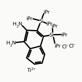 CC(C)[Si](c1c(N)c(N)c2ccccc2c1[Si](C(C)C)(C(C)C)C(C)C)(C(C)C)C(C)C.[Cl-].[Cl-].[Ti+2]